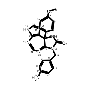 COc1ccc(C23NC(=O)N(Cc4ccc(N)cc4)C2=NC=Nc2[nH]cnc23)cc1